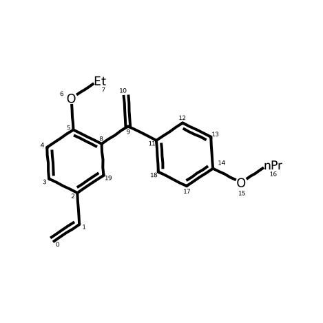 C=Cc1ccc(OCC)c(C(=C)c2ccc(OCCC)cc2)c1